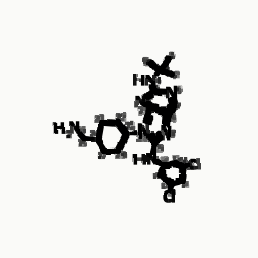 CC(C)(C)Nc1ncc2nc(Nc3cc(Cl)cc(Cl)c3)n([C@H]3CC[C@H](CN)CC3)c2n1